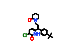 CC(C)(C)c1ccc(C(=CCN2CCCCC2=O)c2ccc(Cl)c(=O)[nH]2)cc1